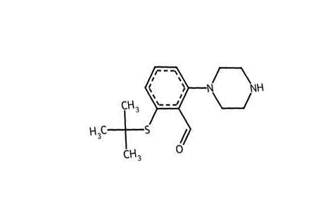 CC(C)(C)Sc1cccc(N2CCNCC2)c1C=O